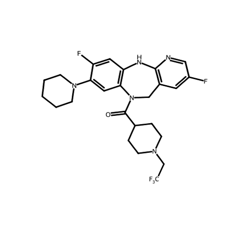 O=C(C1CCN(CC(F)(F)F)CC1)N1Cc2cc(F)cnc2Nc2cc(F)c(N3CCCCC3)cc21